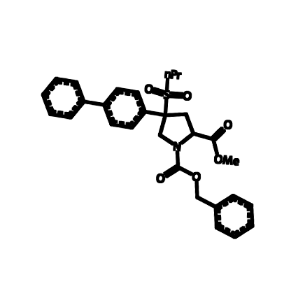 CCCS(=O)(=O)C1(c2ccc(-c3ccccc3)cc2)CC(C(=O)OC)N(C(=O)OCc2ccccc2)C1